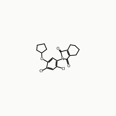 O=C1C2=C(CCCC2)C(=O)N1c1cc(OC2CCCC2)c(Cl)cc1Cl